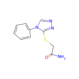 NC(=O)CSc1nncn1-c1ccccc1